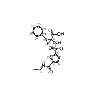 CCNC(=O)c1ccc(S(=O)(=O)NC2(C(=O)O)CC2c2ccccc2)s1